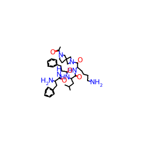 CC(=O)N1CCC2(C1)CN(C(=O)C(CCCCN)NC(=O)C(CC(C)C)NC(=O)C(Cc1ccccc1)NC(=O)C(N)Cc1ccccc1)C2